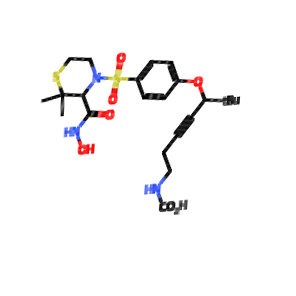 CC(C)(C)C(C#CCCNC(=O)O)Oc1ccc(S(=O)(=O)N2CCSC(C)(C)C2C(=O)NO)cc1